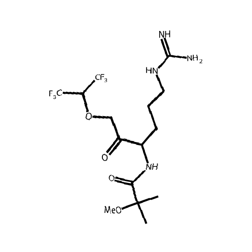 COC(C)(C)C(=O)NC(CCCNC(=N)N)C(=O)COC(C(F)(F)F)C(F)(F)F